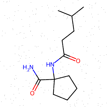 CC(C)CCC(=O)NC1(C(N)=O)CCCC1